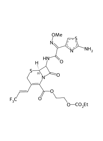 CCOC(=O)OCCOC(=O)C1=C(C=CC(F)(F)F)CS[C@H]2C(NC(=O)C(=NOC)c3csc(N)n3)C(=O)N12